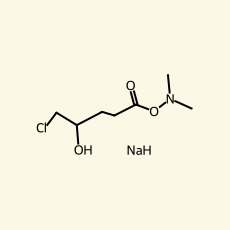 CN(C)OC(=O)CCC(O)CCl.[NaH]